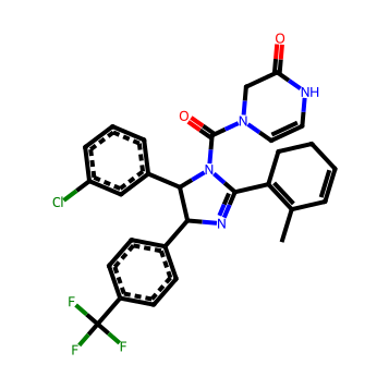 CC1=C(C2=NC(c3ccc(C(F)(F)F)cc3)C(c3cccc(Cl)c3)N2C(=O)N2C=CNC(=O)C2)CCC=C1